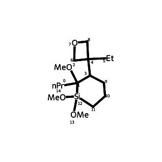 CCCC1(OC)C(C2(CC)COC2)CCC[Si]1(OC)OC